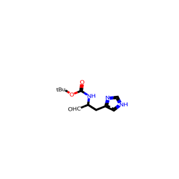 CC(C)(C)OC(=O)NC(C=O)Cc1c[nH]cn1